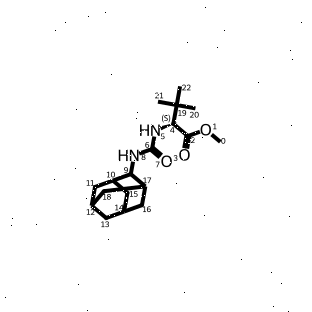 COC(=O)[C@@H](NC(=O)NC1C2CC3CC(C2)CC1C3)C(C)(C)C